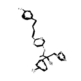 CC(S[C@H]1CO[C@H](/C=C/C=C/c2ccc(C(F)(F)F)cc2)OC1)C(O)(Cn1cncn1)c1ccc(C(F)(F)F)cc1